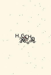 C=C/C(=C\C=C/C)C1(c2ccccc2)c2ccccc2N(c2ccccc2)c2ccc(-c3cccc(-c4ccc5c(c4)-c4ccccc4C5=O)c3)cc21